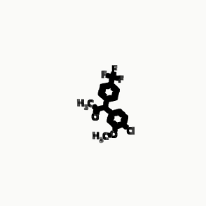 COc1cc(C(C(C)=O)c2ccc(C(F)(F)F)cc2)ccc1Cl